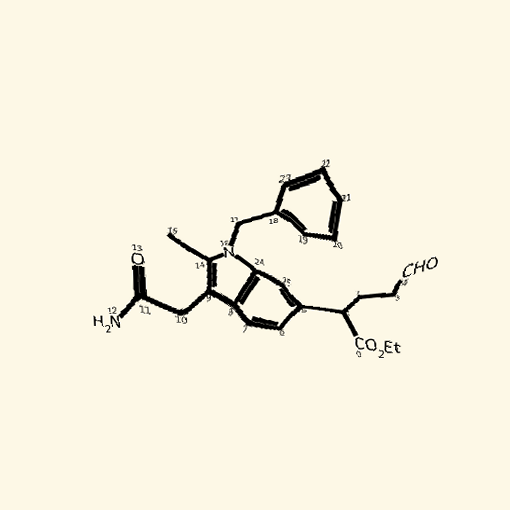 CCOC(=O)C(CCC=O)c1ccc2c(CC(N)=O)c(C)n(Cc3ccccc3)c2c1